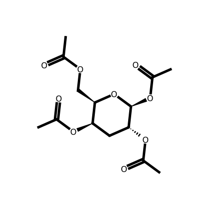 CC(=O)OC[C@H]1O[C@@H](OC(C)=O)[C@H](OC(C)=O)C[C@H]1OC(C)=O